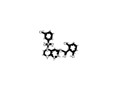 O=C(Nc1cc2c(nn1)OCCN2S(=O)(=O)c1cccc(Cl)c1)c1c(Cl)cccc1Cl